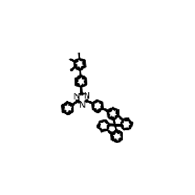 Cc1ccc(-c2ccc(-c3nc(-c4ccccc4)nc(-c4ccc(-c5ccc6c(c5)C5(c7ccccc7-c7ccccc75)c5ccccc5-6)cc4)n3)cc2)c(C)c1C